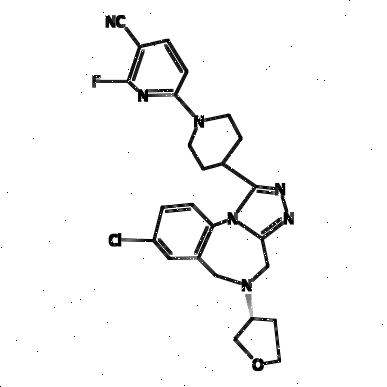 N#Cc1ccc(N2CCC(c3nnc4n3-c3ccc(Cl)cc3CN([C@@H]3CCOC3)C4)CC2)nc1F